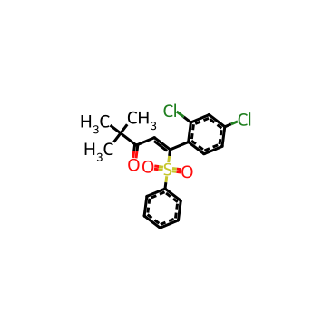 CC(C)(C)C(=O)C=C(c1ccc(Cl)cc1Cl)S(=O)(=O)c1ccccc1